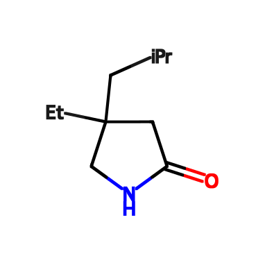 CCC1(CC(C)C)CNC(=O)C1